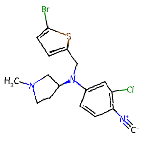 [C-]#[N+]c1ccc(N(Cc2ccc(Br)s2)[C@H]2CCN(C)C2)cc1Cl